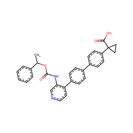 CC(OC(=O)Nc1cnccc1-c1ccc(-c2ccc(C3(C(=O)O)CC3)cc2)cc1)c1ccccc1